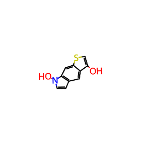 Oc1csc2cc3c(ccn3O)cc12